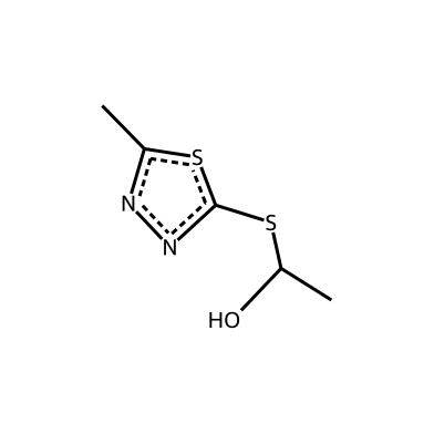 Cc1nnc(SC(C)O)s1